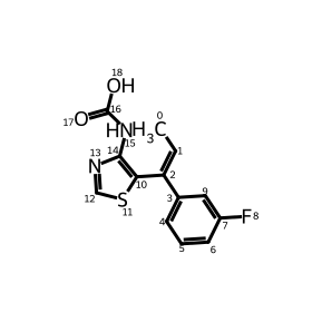 CC=C(c1cccc(F)c1)c1scnc1NC(=O)O